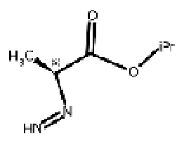 CC(C)OC(=O)[C@H](C)N=N